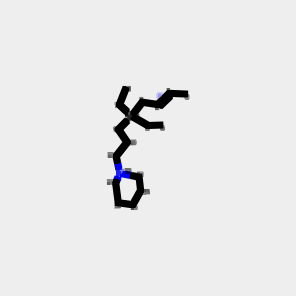 C/C=C/C[Si](CC)(CC)CCCN1CCCCC1